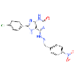 O=c1nc(NN=Cc2ccc([N+](=O)[O-])cc2)c2[nH]c(-c3ccc(Cl)cc3)nc2[nH]1